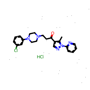 Cc1c(C(=O)CCN2CCN(c3cccc(Cl)c3)CC2)cnn1-c1ccccn1.Cl